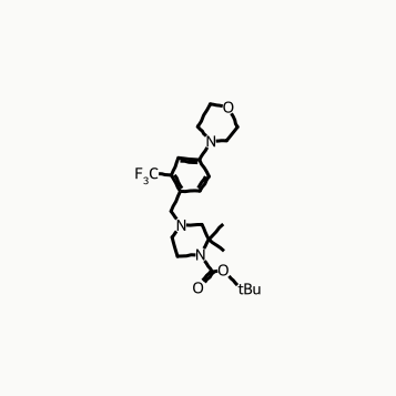 CC(C)(C)OC(=O)N1CCN(Cc2ccc(N3CCOCC3)cc2C(F)(F)F)CC1(C)C